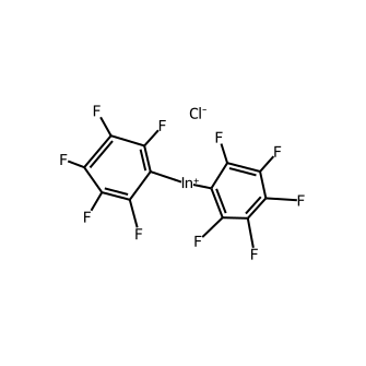 Fc1c(F)c(F)[c]([In+][c]2c(F)c(F)c(F)c(F)c2F)c(F)c1F.[Cl-]